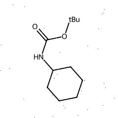 CC(C)(C)OC(=O)NC1C[CH]CCC1